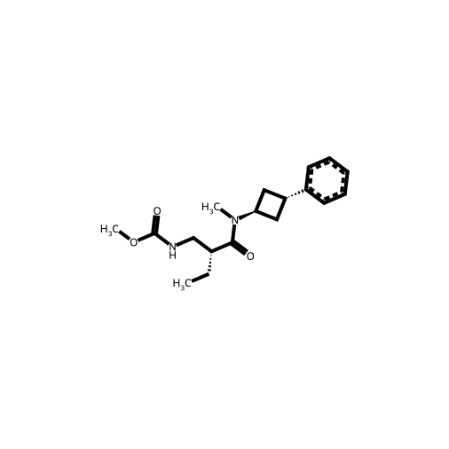 CC[C@H](CNC(=O)OC)C(=O)N(C)[C@H]1C[C@H](c2ccccc2)C1